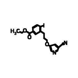 CCOC(=O)c1ccc(I)c(CCCOc2cncc(C#N)c2)c1